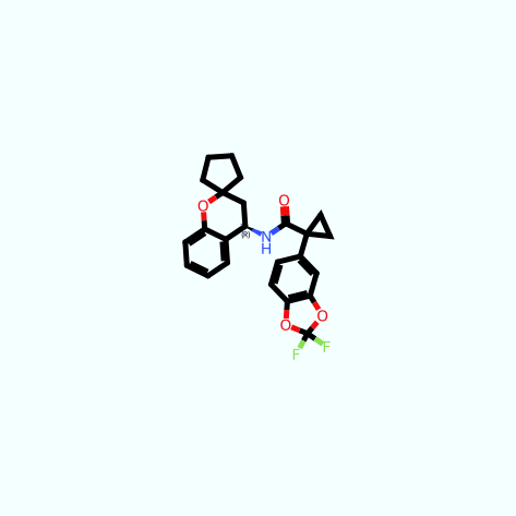 O=C(N[C@@H]1CC2(CCCC2)Oc2ccccc21)C1(c2ccc3c(c2)OC(F)(F)O3)CC1